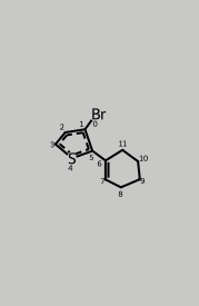 Brc1ccsc1C1=CCCCC1